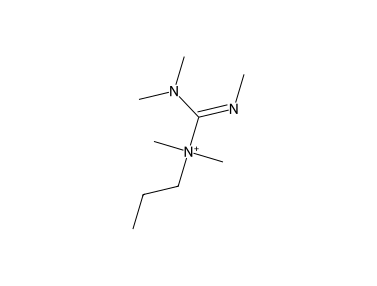 CCC[N+](C)(C)C(=NC)N(C)C